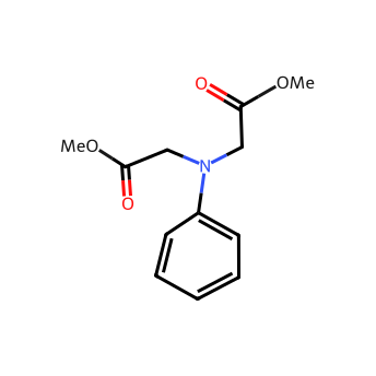 COC(=O)CN(CC(=O)OC)c1ccccc1